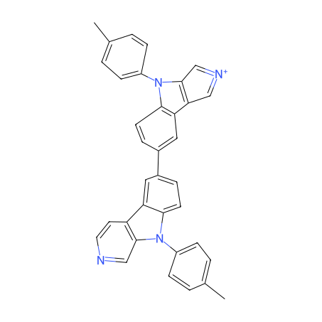 Cc1ccc(-n2c3c(c4cc(-c5ccc6c(c5)c5ccncc5n6-c5ccc(C)cc5)ccc42)C=[N+]=C3)cc1